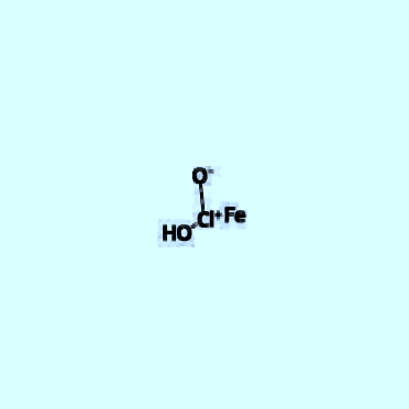 [Fe].[O-][Cl+]O